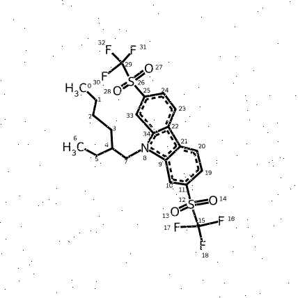 CCCCC(CC)Cn1c2cc(S(=O)(=O)C(F)(F)F)ccc2c2ccc(S(=O)(=O)C(F)(F)F)cc21